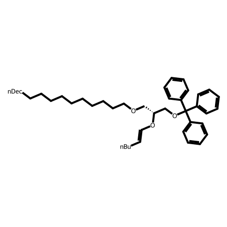 CCCCC=CO[C@H](COCCCCCCCCCCCCCCCCCCCC)COC(c1ccccc1)(c1ccccc1)c1ccccc1